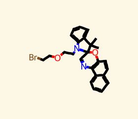 CC1(C)c2ccccc2N(CCOCCBr)C12C=Nc1c(ccc3ccccc13)O2